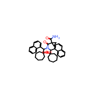 NC(=O)C1(C(=O)N(C(c2cccc3ccccc23)C2(O)CCCCCC2)C(c2cccc3ccccc23)C2(O)CCCCCC2)CC1